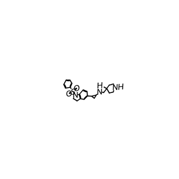 CC1(CNC2CC2c2ccc3c(c2)CCN3S(=O)(=O)c2ccccc2)CCNCC1